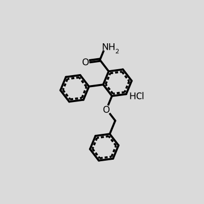 Cl.NC(=O)c1cccc(OCc2ccccc2)c1-c1ccccc1